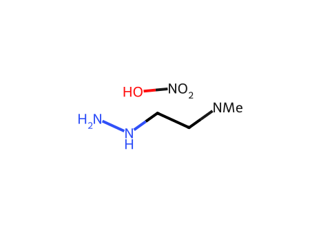 CNCCNN.O=[N+]([O-])O